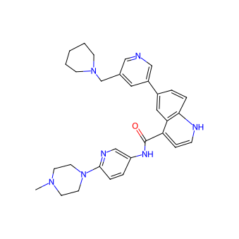 CN1CCN(c2ccc(NC(=O)C3=C=CNc4ccc(-c5cncc(CN6CCCCC6)c5)cc43)cn2)CC1